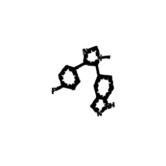 Cn1cnc(-c2ccc(F)cc2)c1-c1ccc2[nH]ncc2c1